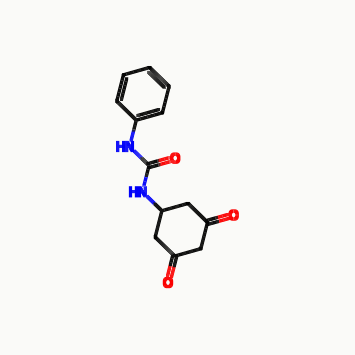 O=C1CC(=O)CC(NC(=O)Nc2ccccc2)C1